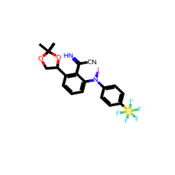 CC1(C)OCC(c2cccc(N(I)c3ccc(S(F)(F)(F)(F)F)cc3)c2C(=N)C#N)O1